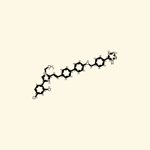 CCn1cc(-c2ccc(Cl)cc2Cl)nc1C=Cc1ccc(-c2ccc(OCc3ccc(-c4nnn[nH]4)cc3)cc2)cc1